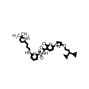 CC1(C)CCC(CCCNc2cccc(S(=O)(=O)NC(=O)c3ccc(-n4ccc(OCCC(C5CC5)C5CC5)n4)nc3Cl)n2)N1